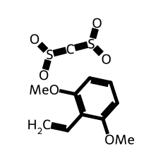 C=Cc1c(OC)cccc1OC.O=S(=O)=C=S(=O)=O